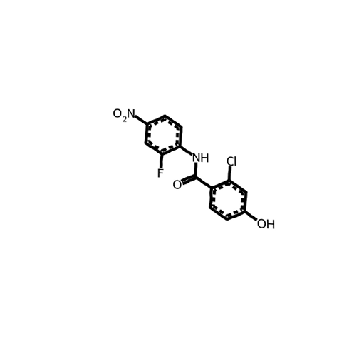 O=C(Nc1ccc([N+](=O)[O-])cc1F)c1ccc(O)cc1Cl